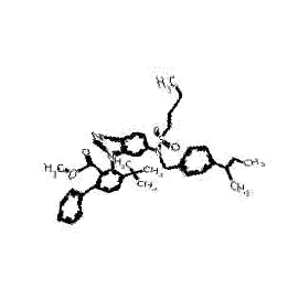 CCCCS(=O)(=O)N(Cc1ccc(C(C)CC)cc1)c1ccc2ncn(-c3c(C(C)(C)C)ccc(-c4ccccc4)c3C(=O)OC)c2c1